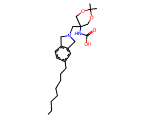 CCCCCCCCc1ccc2c(c1)CN(CC1(NC(=O)O)COC(C)(C)OC1)C2